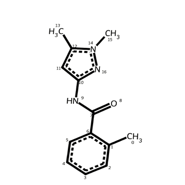 Cc1ccccc1C(=O)Nc1cc(C)n(C)n1